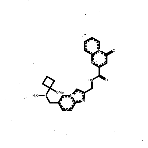 COC1(N(C)Cc2ccc3nc(CNC(=O)c4cc(=O)n5ccccc5n4)cn3c2)CCC1